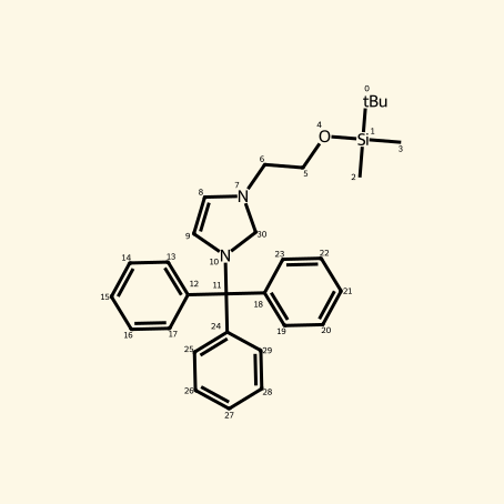 CC(C)(C)[Si](C)(C)OCCN1C=CN(C(c2ccccc2)(c2ccccc2)c2ccccc2)C1